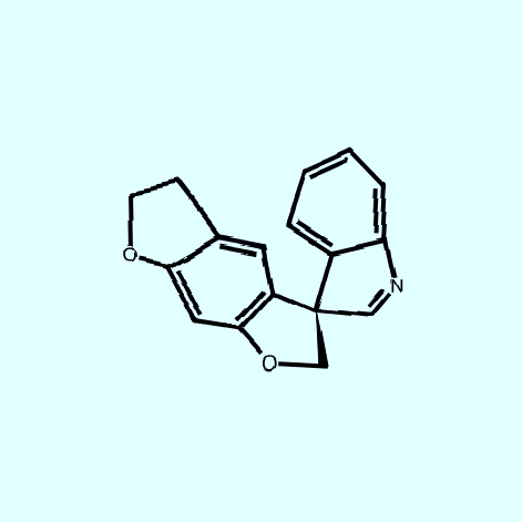 C1=Nc2ccccc2[C@]12COc1cc3c(cc12)CCO3